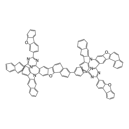 c1ccc2cc(-c3nc(-c4ccc5c(c4)oc4ccccc45)nc(-c4cc5c(cc4-n4c6ccccc6c6cc7ccccc7cc64)oc4c6ccc(-c7ccc(-c8nc(-c9ccc%10c(c9)oc9ccccc9%10)nc(-c9cc%10c(cc9-n9c%11ccccc%11c%11cc%12ccccc%12cc%119)oc9ccc%11ccccc%11c9%10)n8)cc7)cc6ccc54)n3)ccc2c1